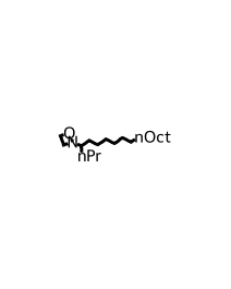 CCCCCCCCCCCCCCC(CCC)N1CCO1